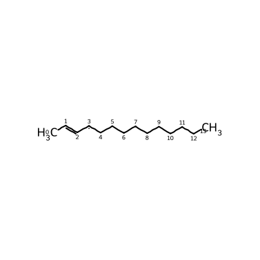 CC=C[CH]CCCCCCCCCC